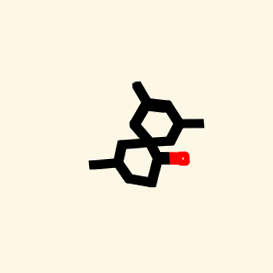 CC1=CC(C)CC2(C1)CC(C)CCC2=O